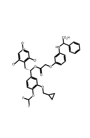 O=C(COc1cccc(NC(C(=O)O)c2ccccc2)c1)O[C@@H](Cc1c(Cl)c[n+]([O-])cc1Cl)c1ccc(OC(F)F)c(OCC2CC2)c1